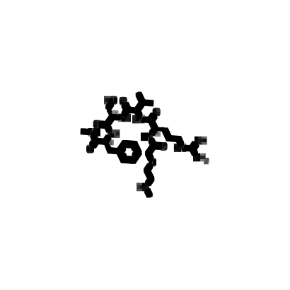 CNCCOCC(=O)N[C@@H](CCCNC(=N)N)C(=O)NC(C(=O)N[C@@H](CO)C(=O)N[C@@H](Cc1ccccc1)C(=O)NC)C(C)C